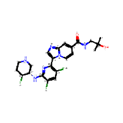 CC(C)(O)CNC(=O)c1ccn2c(-c3nc(N[C@H]4CNCC[C@@H]4F)c(F)cc3F)cnc2c1